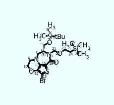 CC(C)(C)[Si](C)(C)OC[C@@H]1CN2CCOc3c(Br)sc(c32)C(=O)N1COCC[Si](C)(C)C